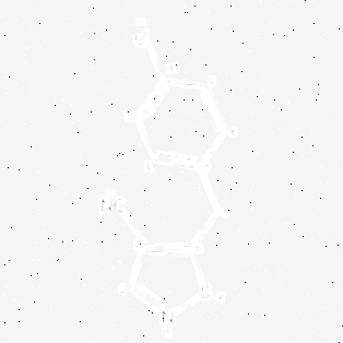 N#Cc1cnsc1Cc1ccc(Cl)cc1